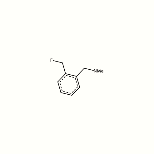 CNCc1ccccc1CF